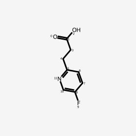 O=C(O)CCc1ccc(F)cn1